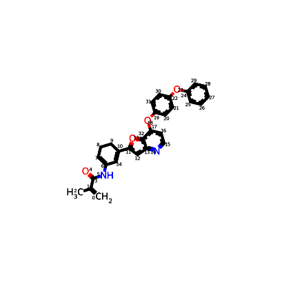 C=C(C)C(=O)NC1=CCCC(c2cc3nccc(Oc4ccc(Oc5ccccc5)cc4)c3o2)=C1